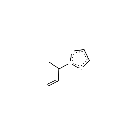 C=CC(C)n1nccn1